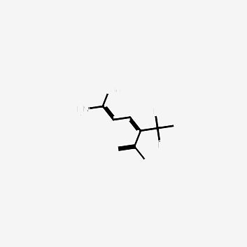 C=C(C)/C(=C\C=C(\N)C(C)CC)C(C)(F)F